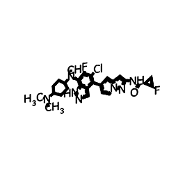 CN(C)C1CCC(N(C)c2c(F)c(Cl)c(-c3ccn4nc(NC(=O)[C@@H]5C[C@@H]5F)cc4c3)c3cn[nH]c23)CC1